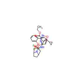 CCOC(=O)c1cccc(NC(=O)N2C3CCC2CC(OCc2c(-c4ccccc4OC(F)(F)F)noc2C2CC2)C3)n1